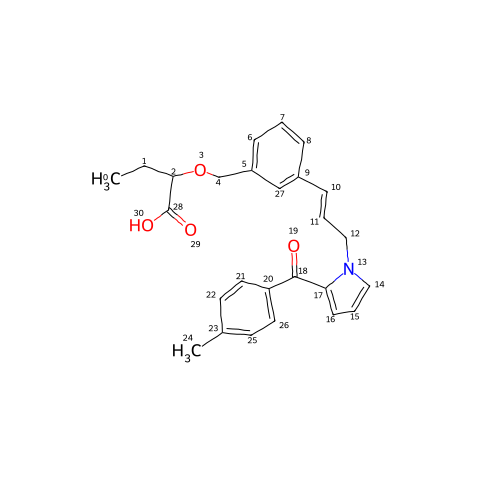 CCC(OCc1cccc(C=CCn2cccc2C(=O)c2ccc(C)cc2)c1)C(=O)O